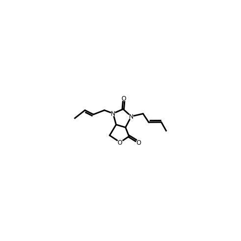 CC=CCN1C(=O)N(CC=CC)C2C(=O)OCC21